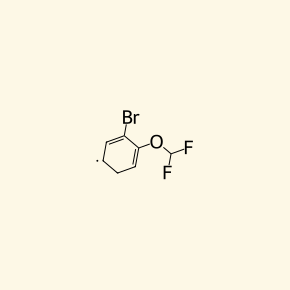 FC(F)OC1=CC[CH]C=C1Br